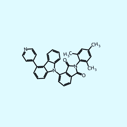 Cc1cc(C)c(N2C(=O)c3cccc(-n4c5ccccc5c5c(-c6ccncc6)cccc54)c3C2=O)c(C)c1